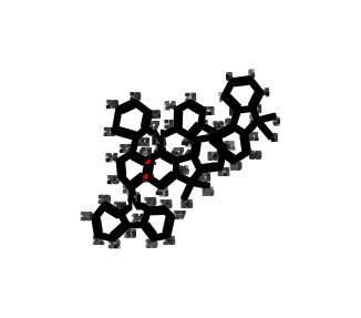 CC1(C)c2ccccc2-c2c(-c3cccc(N(c4ccccc4-c4ccc(-n5c6ccccc6c6ccccc65)cc4)c4cccc5c4-c4ccccc4C5(C)C)c3)cccc21